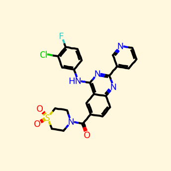 O=C(c1ccc2nc(-c3cccnc3)nc(Nc3ccc(F)c(Cl)c3)c2c1)N1CCS(=O)(=O)CC1